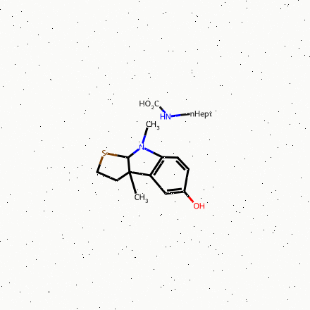 CCCCCCCNC(=O)O.CN1c2ccc(O)cc2C2(C)CCSC12